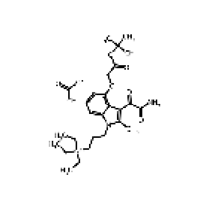 CC(=O)[O-].CC[N+](CC)(CC)CCCn1c(C)c(C(=O)C(N)=O)c2c(OCC(=O)OC(C)(C)C)cccc21